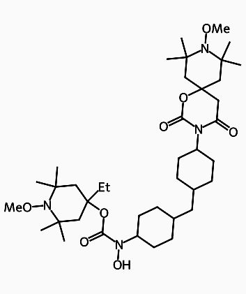 CCC1(OC(=O)N(O)C2CCC(CC3CCC(N4C(=O)CC5(CC(C)(C)N(OC)C(C)(C)C5)OC4=O)CC3)CC2)CC(C)(C)N(OC)C(C)(C)C1